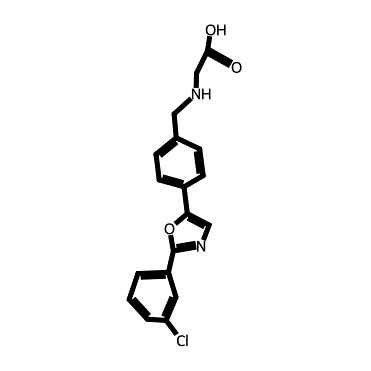 O=C(O)CNCc1ccc(-c2cnc(-c3cccc(Cl)c3)o2)cc1